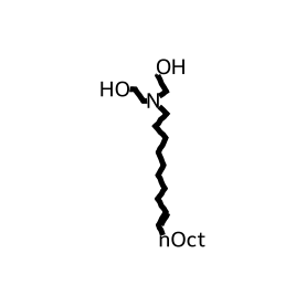 CCCCCCCCC=CCCCCCCCCN(CCO)CCO